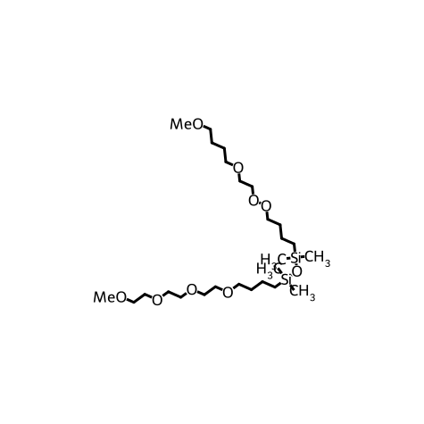 COCCCCOCCOOCCCC[Si](C)(C)O[Si](C)(C)CCCCOCCOCCOCCOC